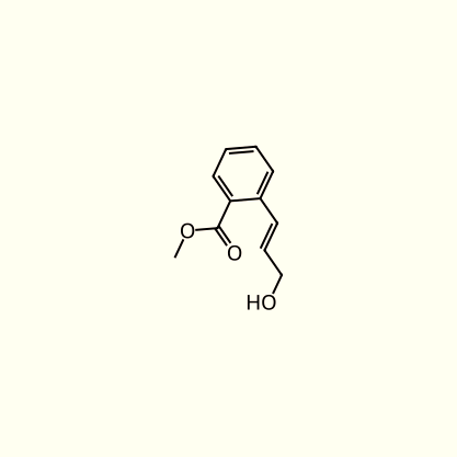 COC(=O)c1ccccc1C=CCO